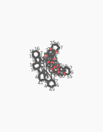 c1ccc(C2=NC(n3c4c(ccc5c6ccccc6n(-c6nc(-c7ccccc7)nc(-c7ccccc7)n6)c54)c4ccc5c6ccccc6n(-c6nc(-c7ccccc7)nc(-c7ccccc7)n6)c5c43)NC(c3ccccc3)=N2)cc1